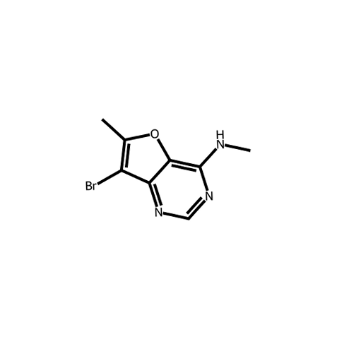 CNc1ncnc2c(Br)c(C)oc12